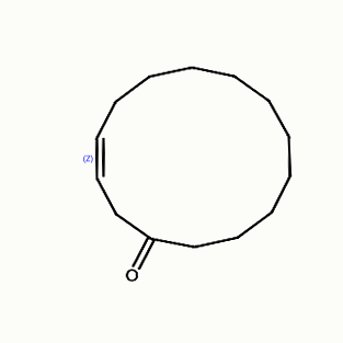 O=C1C/C=C\CCCCCCCCCC1